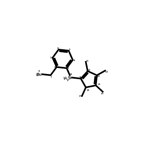 CCC(C)Cc1ccccc1[SiH2]C1=C(C)C(C)=C(C)C1C